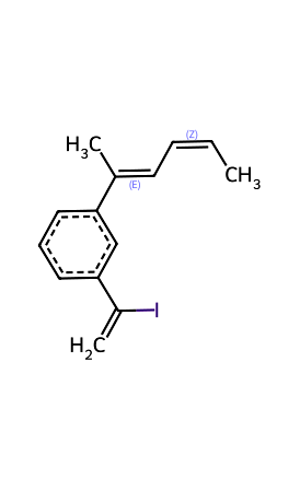 C=C(I)c1cccc(/C(C)=C/C=C\C)c1